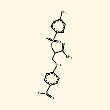 Cc1ccc(S(=O)(=O)OC(CNc2ccc([N+](=O)[O-])cn2)C(=N)N)cc1